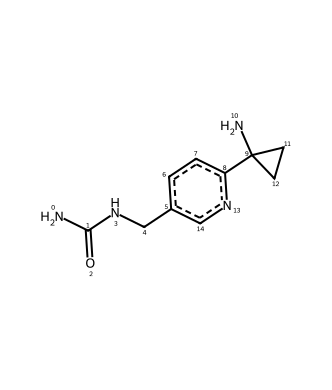 NC(=O)NCc1ccc(C2(N)CC2)nc1